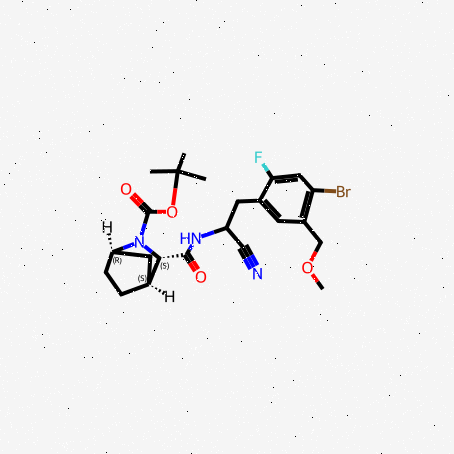 COCc1cc(CC(C#N)NC(=O)[C@@H]2[C@H]3CC[C@H](C3)N2C(=O)OC(C)(C)C)c(F)cc1Br